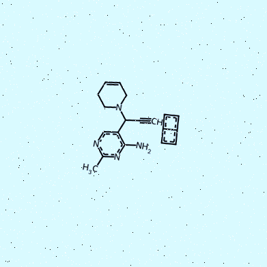 C#CC(c1cnc(C)nc1N)N1CC=CCC1.c1cc2ccc1-2